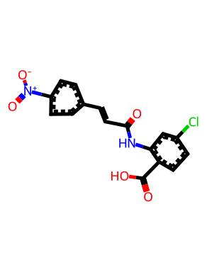 O=C(C=Cc1ccc([N+](=O)[O-])cc1)Nc1cc(Cl)ccc1C(=O)O